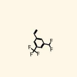 C=Cc1cc(C(F)F)cc(C(F)(F)F)c1